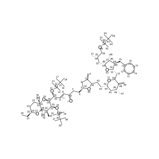 C=C1C[C@H](CCC(=O)/C=C/[C@H](O[Si](C)(C)C(C)(C)C)[C@@H]2O[C@H]3CC[C@H](CC)O[C@@H]3[C@H](C)[C@@H]2O[Si](C)(C)C(C)(C)C)OC1CC[C@H]1C[C@@H](C)C(=C)C(C[C@@H]2O[C@H](C[C@H](C)CO[Si](C)(C)C(C)(C)C)[C@H](C)[C@H]2Cc2ccccc2)O1